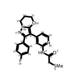 CSCC(=O)Nc1cc(-c2c(-c3ccc(F)cc3)nn3c2OCCC3)ccn1